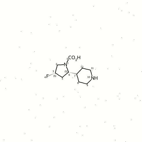 O=C(O)N1C[C@@H](F)C[C@H]1C1CCNCC1